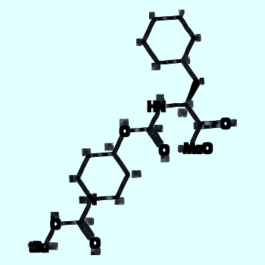 COC(=O)[C@H](CC1CCCCC1)NC(=O)OC1CCN(C(=O)OC(C)(C)C)CC1